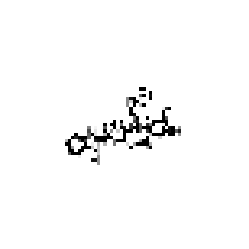 C/N=C\[C@H](C[C@@H]1CCNC1=O)NC(=O)[C@H](CC1CC1)NC(=O)c1nc2ccccc2[nH]1